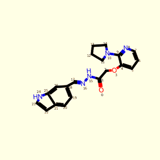 O=C(COc1cccnc1N1CCCC1)N/N=C/c1ccc2cc[nH]c2c1